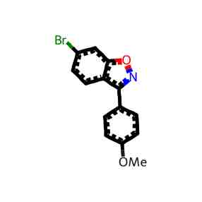 COc1ccc(-c2noc3cc(Br)ccc23)cc1